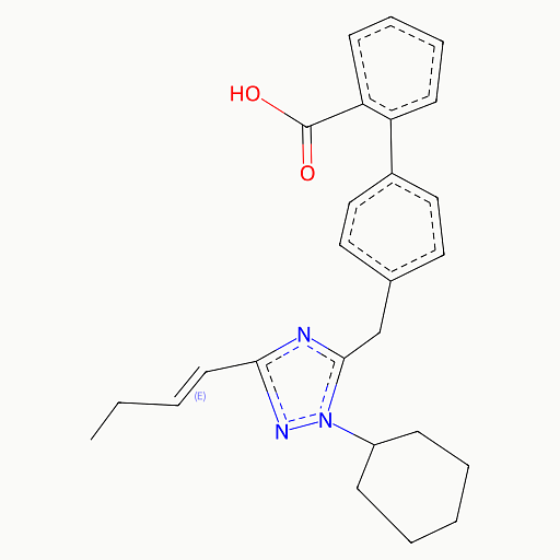 CC/C=C/c1nc(Cc2ccc(-c3ccccc3C(=O)O)cc2)n(C2CCCCC2)n1